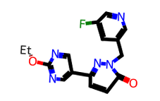 CCOc1ncc(-c2ccc(=O)n(Cc3cncc(F)c3)n2)cn1